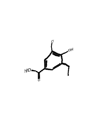 CCc1cc(C(=O)O)cc(Cl)c1O